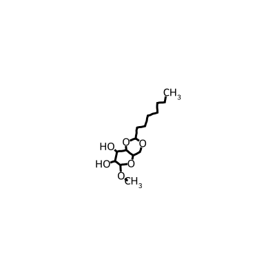 CCCCCCCC1OCC2OC(OC)C(O)C(O)C2O1